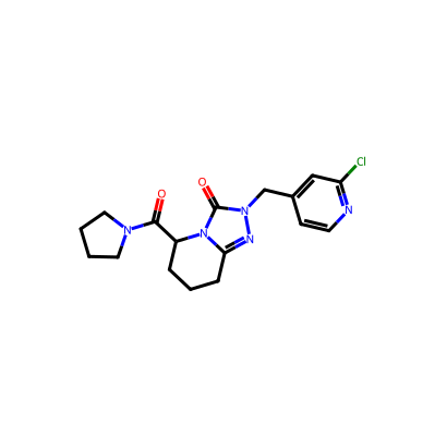 O=C(C1CCCc2nn(Cc3ccnc(Cl)c3)c(=O)n21)N1CCCC1